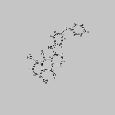 O=C1c2cccc(Nc3ccc(Cc4ccccc4)cc3)c2C(=O)c2c(O)ccc(O)c21